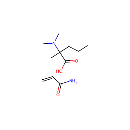 C=CC(N)=O.CCCC(C)(C(=O)O)N(C)C